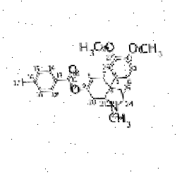 COc1ccc(C23CC=C(OC(=O)c4ccc(I)cc4)CC2N(C)CC3)cc1OC